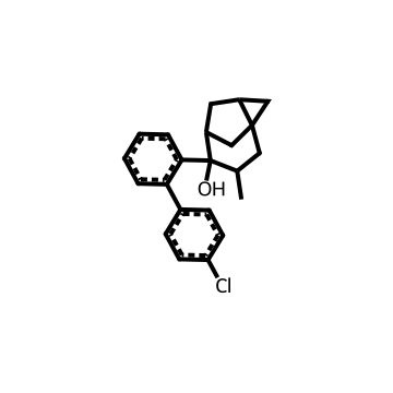 CC1CC23CC2CC(C3)C1(O)c1ccccc1-c1ccc(Cl)cc1